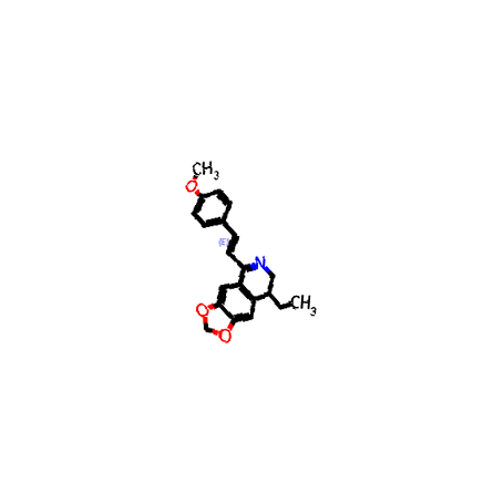 CCC1CN=C(/C=C/c2ccc(OC)cc2)c2cc3c(cc21)OCO3